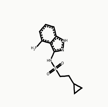 O=S(=O)(CCC1CC1)Nc1n[nH]c2cccc(P)c12